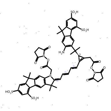 CC1(C)/C(=C/C=C/C=C/C2=C(CC(=O)ON3C(=O)CCC3=O)[C@@H]2C(C)(C)c2cc3c(cc2N)C(C)(C)c2cc(S(=O)(=O)O)cc(S(=O)(=O)O)c2-3)N(CC(=O)ON2C(=O)CCC2=O)c2cc3c(cc21)-c1c(cc(S(=O)(=O)O)cc1S(=O)(=O)O)C3(C)C